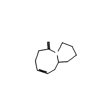 O=C1CCC=CCC2CCCCN12